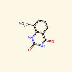 O=C(O)c1cccc2c(=O)[nH]c(=O)[nH]c12